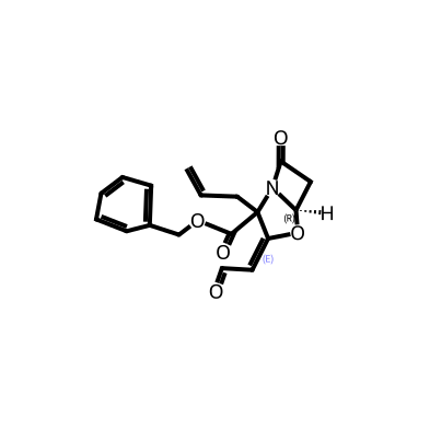 C=CCC1(C(=O)OCc2ccccc2)/C(=C\C=O)O[C@@H]2CC(=O)N21